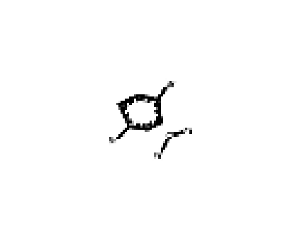 Brc1ccc(Br)cc1.CCOCC